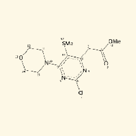 COC(=O)Cc1nc(Cl)nc(N2CCOCC2)c1SC